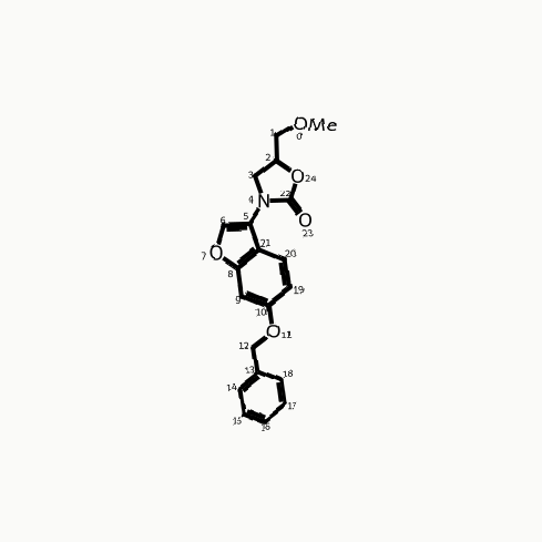 COCC1CN(c2coc3cc(OCc4ccccc4)ccc23)C(=O)O1